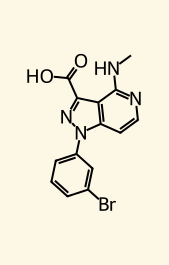 CNc1nccc2c1c(C(=O)O)nn2-c1cccc(Br)c1